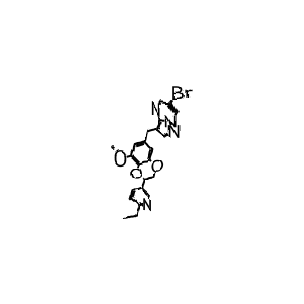 CCc1ccc(C2COc3cc(Cc4cnn5cc(Br)cnc45)cc(OC)c3O2)cn1